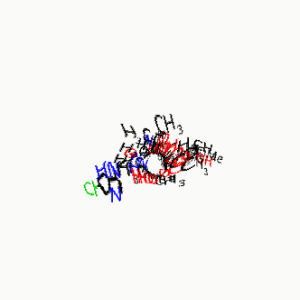 CC[C@H]1OC(=O)[C@H](C)[C@@H](O[C@H]2C[C@@](C)(OC)[C@@H](O)[C@H](C)O2)[C@H](C)[C@@H](O[C@@H]2O[C@H](C)C[C@H](N(C)C)[C@H]2OCCCNC(=O)CCCNc2ccnc3cc(Cl)ccc23)[C@](C)(O)C[C@@H](C)CN(C)[C@H](C)[C@@H](O)[C@]1(C)O